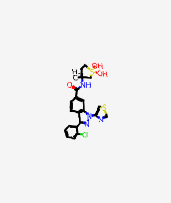 CC1(NC(=O)c2ccc3c(-c4ccccc4Cl)nn(-c4cscn4)c3c2)CCS(O)(O)C1